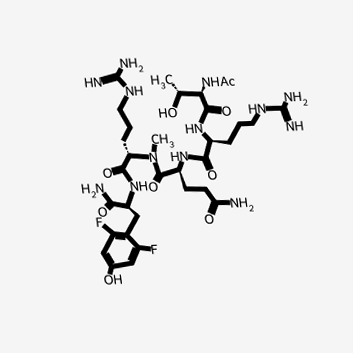 CC(=O)N[C@H](C(=O)N[C@@H](CCCNC(=N)N)C(=O)N[C@@H](CCC(N)=O)C(=O)N(C)[C@@H](CCCNC(=N)N)C(=O)N[C@@H](Cc1c(F)cc(O)cc1F)C(N)=O)[C@@H](C)O